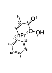 CCCC=C(C)C(=O)OO.c1ccccc1